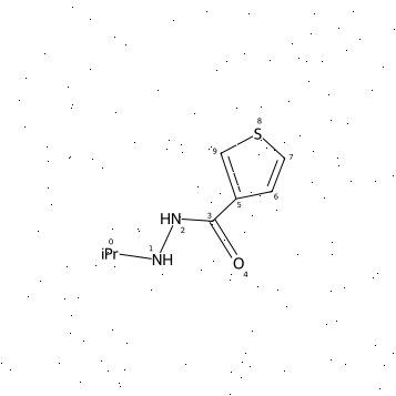 CC(C)NNC(=O)c1ccsc1